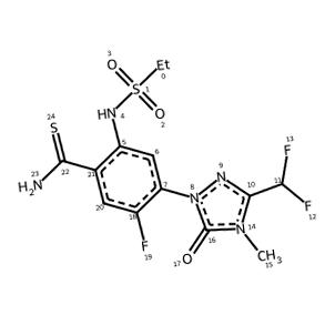 CCS(=O)(=O)Nc1cc(-n2nc(C(F)F)n(C)c2=O)c(F)cc1C(N)=S